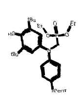 CCCCCc1ccc(N(CP(=O)(OCC)OCC)c2cc(C(C)(C)C)c(O)c(C(C)(C)C)c2)cc1